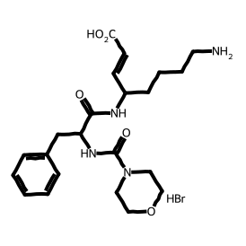 Br.NCCCCC(C=CC(=O)O)NC(=O)C(Cc1ccccc1)NC(=O)N1CCOCC1